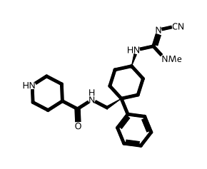 CN/C(=N\C#N)N[C@H]1CC[C@](CNC(=O)C2CCNCC2)(c2ccccc2)CC1